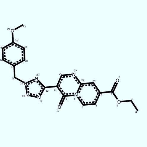 CCOC(=O)c1ccn2c(=O)c(-c3nnn(Cc4ccc(OC)cc4)n3)cnc2c1